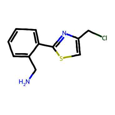 NCc1ccccc1-c1nc(CCl)cs1